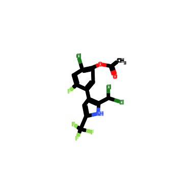 CC(=O)Oc1cc(-c2cc(C(F)(F)F)[nH]c2C(Cl)Cl)c(F)cc1Cl